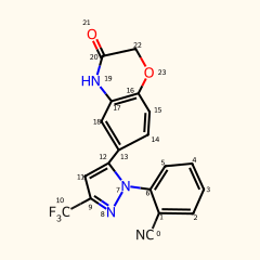 N#Cc1ccccc1-n1nc(C(F)(F)F)cc1-c1ccc2c(c1)NC(=O)CO2